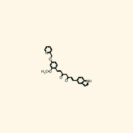 COc1cc(OCc2ccccn2)ccc1C=CC(=O)CC(=O)C=Cc1ccc2[nH]ccc2c1